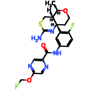 C[C@H]1OCC[C@]2(c3cc(NC(=O)c4cnc(OCF)cn4)ccc3F)N=C(N)SC[C@H]12